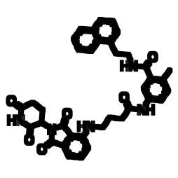 Cc1ccc(NC(=O)CCCNc2cccc3c2C(=O)N(C2CCC(=O)NC2=O)C3=O)cc1C(=O)NCCc1cccc2ccccc12